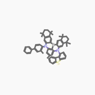 Cc1cc2c3c(c1)N(c1cccc4sc5ccccc5c14)c1cc4c(cc1B3c1cc3c(cc1N2c1ccc(-c2ccccc2)cc1C)C(C)(C)CCC3(C)C)C(C)(C)CCC4(C)C